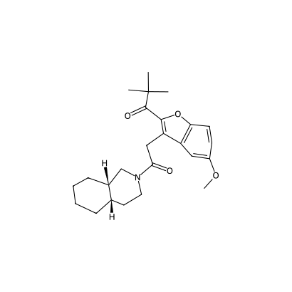 COc1ccc2oc(C(=O)C(C)(C)C)c(CC(=O)N3CC[C@@H]4CCCC[C@@H]4C3)c2c1